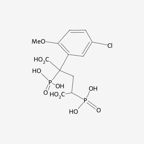 COc1ccc(Cl)cc1C(CC(C(=O)O)P(=O)(O)O)(C(=O)O)P(=O)(O)O